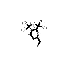 CC(C)(C)C1OC(CF)CC[C@@H]1C(C)(C)C